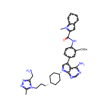 COc1cc(-c2cn([C@H]3CC[C@@H](CCCn4c(C)nnc4CN)CC3)c3ncnc(N)c23)ccc1NC(=O)c1cc2ccccc2n1C